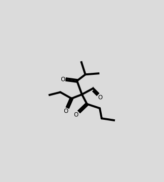 CCCC(=O)C([C]=O)(C(=O)CC)C(=O)C(C)C